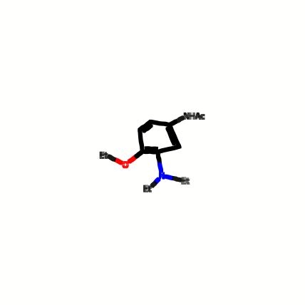 CCOc1ccc(NC(C)=O)cc1N(CC)CC